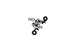 CC(Cc1ccccc1)NC(=O)O[C@@H](CO)[C@@H](CO)OC(=O)NC(C)Cc1ccccc1